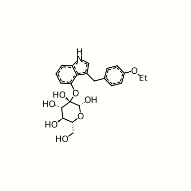 CCOc1ccc(Cc2c[nH]c3cccc(O[C@]4(O)[C@H](O)O[C@H](CO)[C@@H](O)[C@@H]4O)c23)cc1